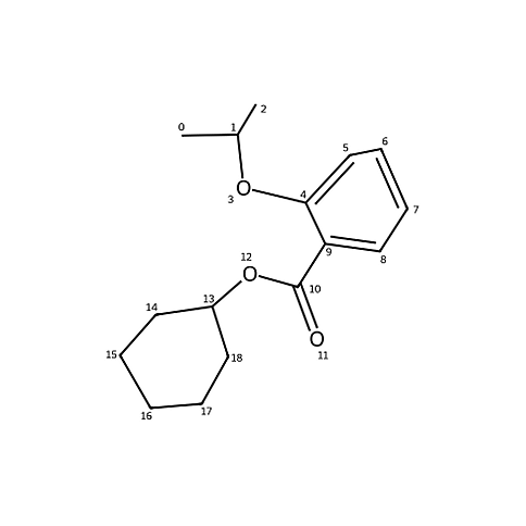 CC(C)Oc1ccccc1C(=O)OC1CCCCC1